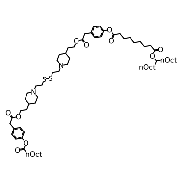 CCCCCCCCC(=O)Oc1ccc(CC(=O)OCCC2CCN(CCSSCCN3CCC(CCOC(=O)Cc4ccc(OC(=O)CCCCCCCC(=O)OC(CCCCCCCC)CCCCCCCC)cc4)CC3)CC2)cc1